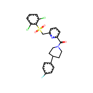 O=C(c1cccc(CS(=O)(=O)c2c(Cl)cccc2Cl)n1)N1CCC(c2ccc(F)cc2)CC1